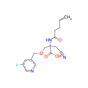 C=CCCC(=O)NC(CC#N)(COCc1cncc(F)c1)C(=O)O